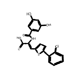 O=C(O)C(=Cc1ccc(-c2ccccc2Cl)s1)NC(=O)c1cc(O)cc(O)c1